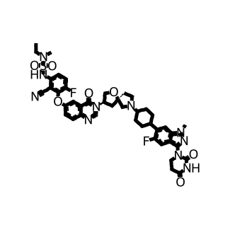 CCN(C)S(=O)(=O)Nc1ccc(F)c(Oc2ccc3ncn([C@H]4CO[C@]5(CCN(C6CCC(c7cc8c(cc7F)c(N7CCC(=O)NC7=O)nn8C)CC6)C5)C4)c(=O)c3c2)c1C#N